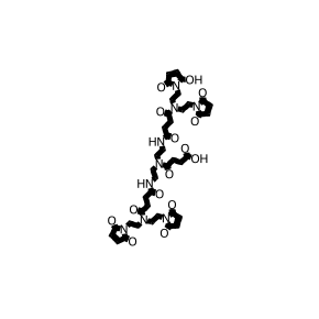 O=C(O)CCC(=O)N(CCNC(=O)CCC(=O)N(CCN1C(=O)C=CC1=O)CCN1C(=O)C=CC1=O)CCNC(=O)CCC(=O)N(CCN1C(=O)C=CC1=O)CCN1C(=O)C=CC1O